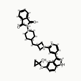 CC1(Oc2ccc3[nH]nc(-c4ccnc(N5CC(CC6CCN(N7C(=O)c8ccccc8C7=O)CC6)C5)c4)c3c2)CC1